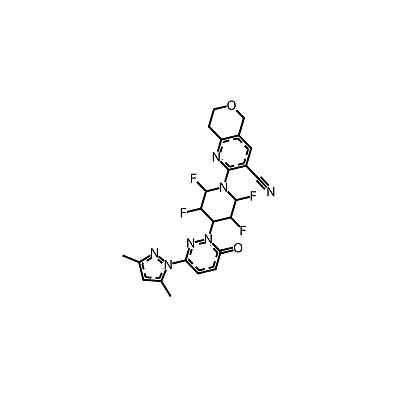 Cc1cc(C)n(-c2ccc(=O)n(C3C(F)C(F)N(c4nc5c(cc4C#N)COCC5)C(F)C3F)n2)n1